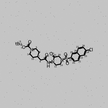 CC(C)(C)OC(=O)N1CCC(CC(=O)NN2CCN(S(=O)(=O)c3ccc4cc(Cl)ccc4c3)CC2=O)CC1